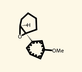 COc1cccc([C@@]23CCCC[C@@H]2O3)c1